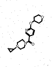 O=C(c1ccc(OC2CCOCC2)nc1)N1CCN(C2CC2)CC1